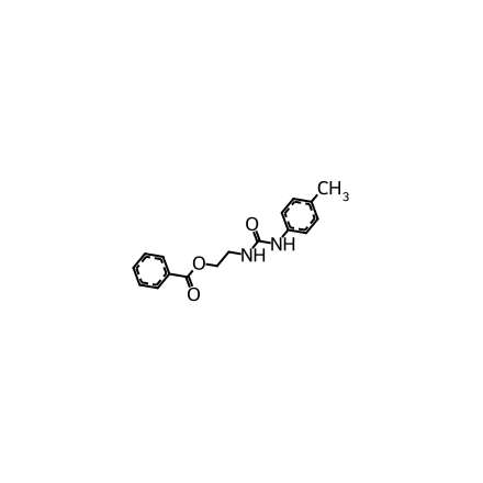 Cc1ccc(NC(=O)NCCOC(=O)c2ccccc2)cc1